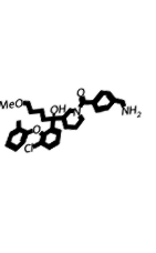 COCCCC[C@@](O)(c1cccc(Cl)c1Oc1ccccc1C)C1CCCN(C(=O)c2ccc(CN)cc2)C1